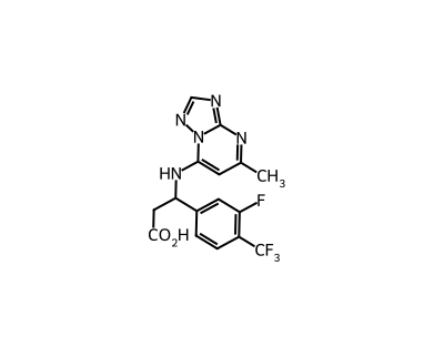 Cc1cc(NC(CC(=O)O)c2ccc(C(F)(F)F)c(F)c2)n2ncnc2n1